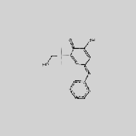 CC(C)(C)C1=CC(=Nc2cnccn2)C=C(C(C)(C)CO)C1=O